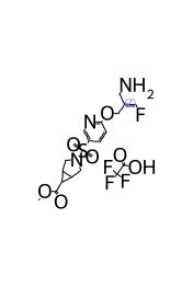 COC(=O)C1C2CN(S(=O)(=O)c3ccc(OC/C(=C\F)CN)nc3)CC21.O=C(O)C(F)(F)F